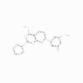 CNc1nc(-c2cccnc2)nc2cc(-c3cc(F)cc(OC)c3)ccc12